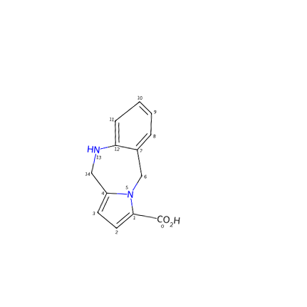 O=C(O)c1ccc2n1Cc1ccccc1NC2